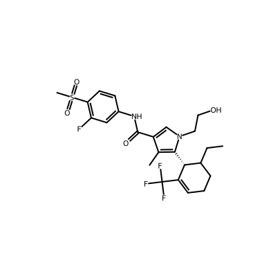 CCC1CCC=C(C(F)(F)F)[C@@H]1c1c(C)c(C(=O)Nc2ccc(S(C)(=O)=O)c(F)c2)cn1CCO